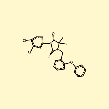 CC1(C)C(=O)N(c2ccc(Cl)c(Cl)c2)C(=O)N1Cc1ccccc1Oc1ccccc1